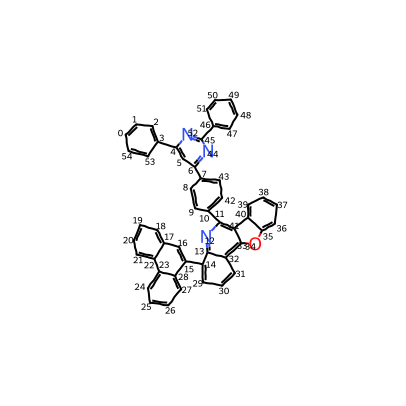 c1ccc(-c2cc(-c3ccc(-c4nc5c(-c6cc7ccccc7c7ccccc67)cccc5c5oc6ccccc6c45)cc3)nc(-c3ccccc3)n2)cc1